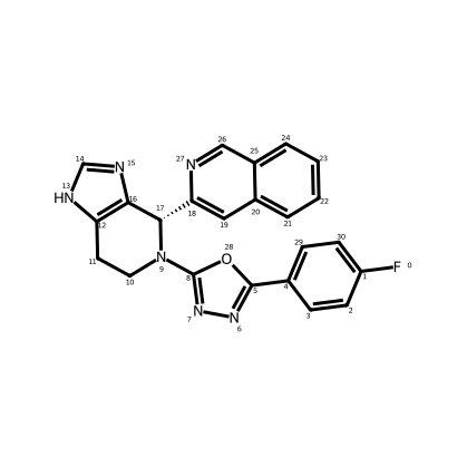 Fc1ccc(-c2nnc(N3CCc4[nH]cnc4[C@@H]3c3cc4ccccc4cn3)o2)cc1